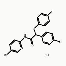 Cl.O=C(Nc1ccc(Br)cn1)C(Sc1ccc(F)cc1)c1ccc(Cl)cc1